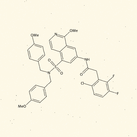 COc1ccc(CN(Cc2ccc(OC)cc2)S(=O)(=O)c2cc(NC(=O)Cc3c(Cl)ccc(F)c3F)cc3c(OC)nccc23)cc1